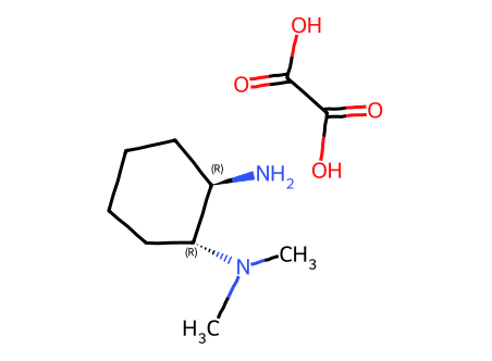 CN(C)[C@@H]1CCCC[C@H]1N.O=C(O)C(=O)O